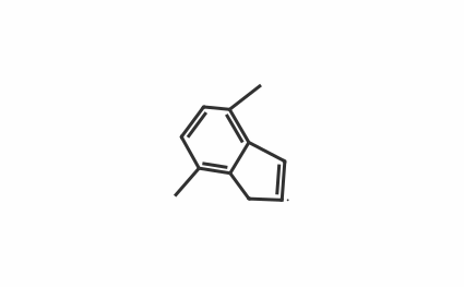 Cc1ccc(C)c2c1C=[C]C2